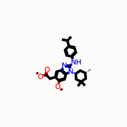 COC(=O)Cc1cc2nc(Nc3ccc(C(C)C)cc3)n([C@@H]3C[C@H](C)CC(C)(C)C3)c2cc1OC